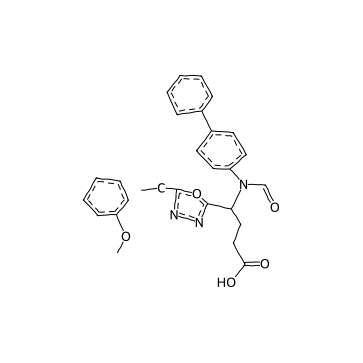 CCc1nnc(C(CCC(=O)O)N(C=O)c2ccc(-c3ccccc3)cc2)o1.COc1ccccc1